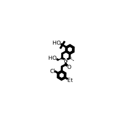 CCc1ccc(Cl)c(CC(=O)N2[C@@H](CO)Cc3c(cccc3C(C)(C)O)[C@@H]2C)c1